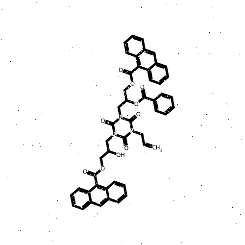 C=CCn1c(=O)n(CC(O)COC(=O)c2c3ccccc3cc3ccccc23)c(=O)n(CC(COC(=O)c2c3ccccc3cc3ccccc23)OC(=O)c2ccccc2)c1=O